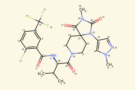 CC(C)[C@@H](NC(=O)c1cc(C(F)(F)F)ccc1F)C(=O)N1CCC2(CC1)C(=O)N(C)C(=O)N2c1cnn(C)c1